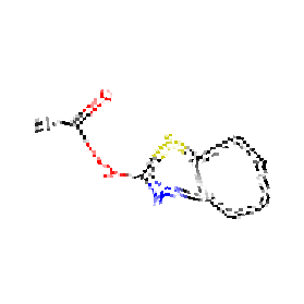 CCC(=O)Oc1nc2ccccc2s1